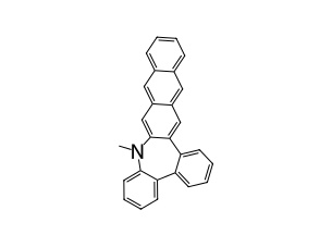 CN1c2ccccc2-c2ccccc2-c2cc3cc4ccccc4cc3cc21